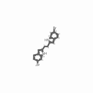 Brc1ccc2cc(CCc3cc4ccc(Br)cc4[nH]3)[nH]c2c1